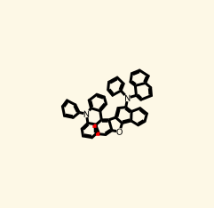 c1ccc(N(c2ccccc2)c2ccccc2-c2cccc3oc4c5ccccc5c(N(c5ccccc5)c5cccc6ccccc56)cc4c23)cc1